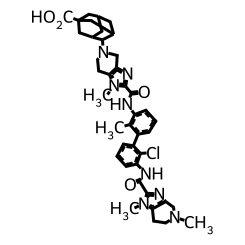 Cc1c(NC(=O)c2nc3c(n2C)CCN(C2C4CC5CC2CC(C(=O)O)(C5)C4)C3)cccc1-c1cccc(NC(=O)c2nc3c(n2C)CCN(C)C3)c1Cl